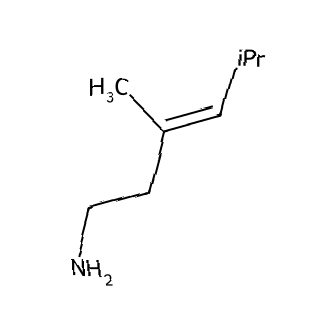 C/C(=C\C(C)C)CCN